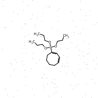 CCCO[Si](OCCC)(OCCC)C1=CC=CCCCC1